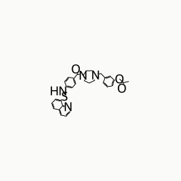 CC(=O)Oc1cccc(CN2CCCN(C(=O)c3ccc(NSc4cccc5cccnc45)cc3)CC2)c1